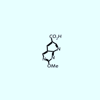 COc1ncc2cc(C(=O)O)cnc2n1